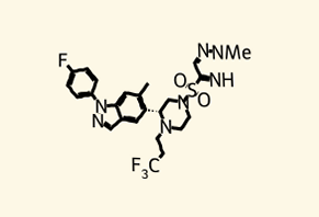 CN/N=C\C(=N)S(=O)(=O)N1CCN(CCC(F)(F)F)[C@H](c2cc3cnn(-c4ccc(F)cc4)c3cc2C)C1